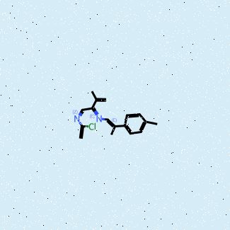 C=C(Cl)\N=C/C(=N/C=C(\C)c1ccc(C)cc1)C(=C)C